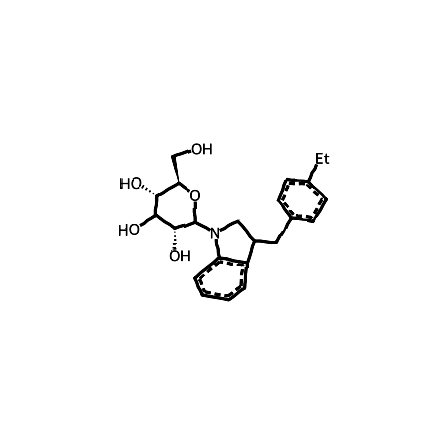 CCc1ccc(CC2CN(C3O[C@H](CO)[C@@H](O)C(O)[C@H]3O)c3ccccc32)cc1